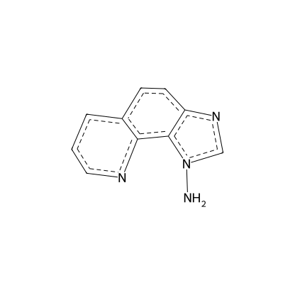 Nn1cnc2ccc3cccnc3c21